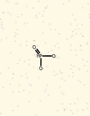 [O][PH]([O])=O